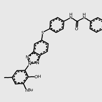 CCCCc1cc(C)cc(-n2nc3ccc(Sc4ccc(NC(=O)Nc5ccccc5)cc4)cc3n2)c1O